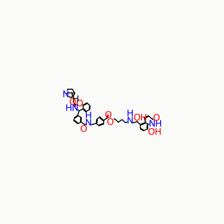 O=C(NC(c1ccccc1)c1cccc(C(=O)NCc2ccc(C(=O)OCCCCNC[C@@H](O)c3ccc(O)c4[nH]c(=O)ccc34)cc2)c1)O[C@H]1CN2CCC1CC2